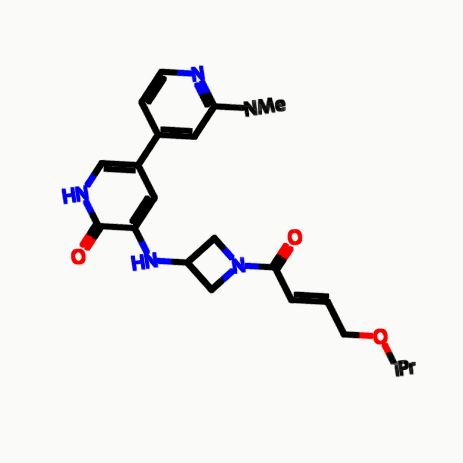 CNc1cc(-c2c[nH]c(=O)c(NC3CN(C(=O)C=CCOC(C)C)C3)c2)ccn1